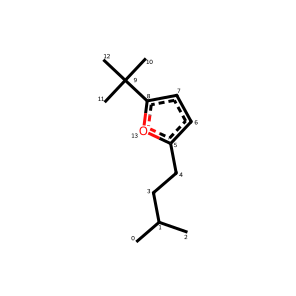 CC(C)CCc1ccc(C(C)(C)C)o1